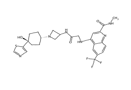 CNC(=O)c1cc(NCC(=O)NC2CN([C@H]3CC[C@@](O)(c4cncs4)CC3)C2)c2cc(C(F)(F)F)ccc2n1